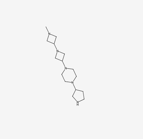 CN1CC(N2CC(N3CCN(C4CCNC4)CC3)C2)C1